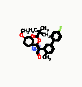 CO[C@H]1CC[C@](N)(/C(OC(=O)C(C)(C)C)=C(\C=O)c2cc(-c3ccc(F)cc3)ccc2C)CC1